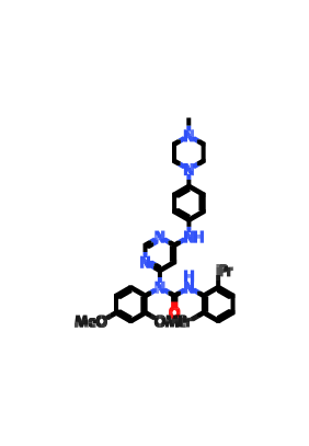 COc1ccc(N(C(=O)Nc2c(C(C)C)cccc2C(C)C)c2cc(Nc3ccc(N4CCN(C)CC4)cc3)ncn2)c(OC)c1